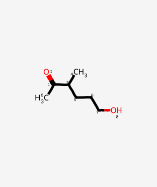 CC(=O)C(C)CCCO